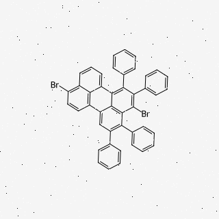 Brc1ccc2c3cc(-c4ccccc4)c(-c4ccccc4)c4c(Br)c(-c5ccccc5)c(-c5ccccc5)c(c5cccc1c25)c43